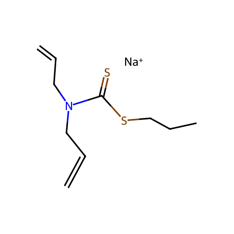 C=CCN(CC=C)C(=S)SCCC.[Na+]